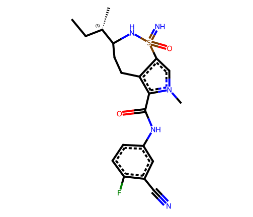 CC[C@H](C)C1CCc2c(cn(C)c2C(=O)Nc2ccc(F)c(C#N)c2)S(=N)(=O)N1